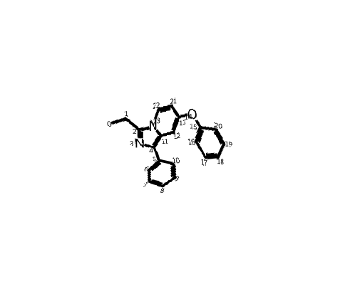 CCc1nc(-c2ccccc2)c2cc(Oc3ccccc3)ccn12